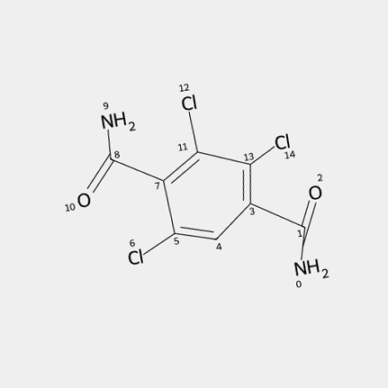 NC(=O)c1cc(Cl)c(C(N)=O)c(Cl)c1Cl